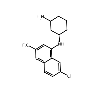 NC1CCC[C@@H](Nc2cc(C(F)(F)F)nc3ccc(Cl)cc23)C1